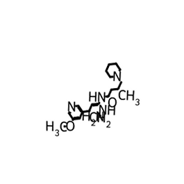 C=C(/C=C(\NN)NC(=O)CC(C)CN1CCCCC1)c1cncc(OC)c1